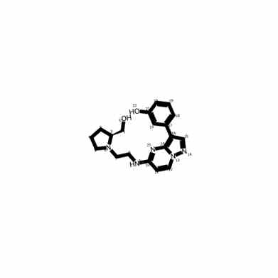 OC[C@@H]1CCCN1CCNc1ccn2ncc(-c3cccc(O)c3)c2n1